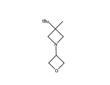 CC(C)(C)C1(C)CN(C2COC2)C1